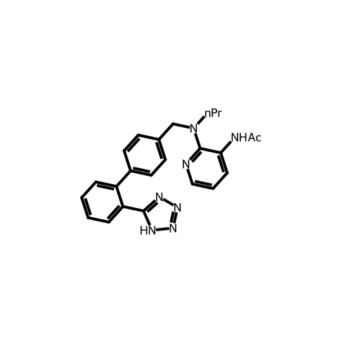 CCCN(Cc1ccc(-c2ccccc2-c2nnn[nH]2)cc1)c1ncccc1NC(C)=O